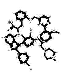 COc1ccccc1-c1nccc(COc2ccccc2CC(Oc2cncc3sc(-c4ccc(F)cc4)c(-c4ccc(OCCN5CCN(C)CC5)c(Cl)c4C)c23)C(=O)O)n1